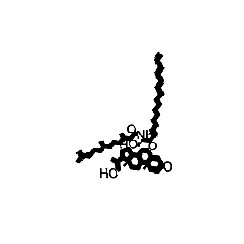 CCCCCCCCCCCCC/C=C/[C@@H](OC1CC2C3CCC(C(C)CO)[C@@]3(C)CCC2[C@@]2(C)C=CC(=O)C=C12)[C@H](CO)NC(=O)/C=C(\C)CC/C=C(\C)CCC=C(C)C